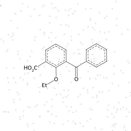 CCOc1c(C(=O)O)cccc1C(=O)c1ccccc1